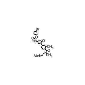 CNCCN(C)C(=O)c1ccc(N2CC(NC(=O)Oc3ccc(Br)s3)CC2=O)cc1C